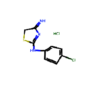 Cl.N=C1CSC(Nc2ccc(Cl)cc2)=N1